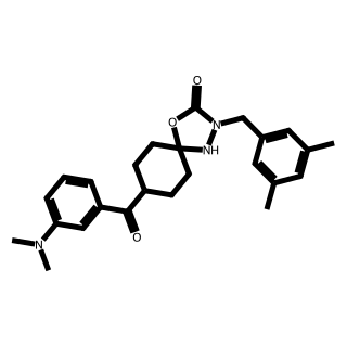 Cc1cc(C)cc(CN2NC3(CCC(C(=O)c4cccc(N(C)C)c4)CC3)OC2=O)c1